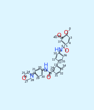 COc1ccc(C(=O)Nc2ccc(-c3cc(C(=O)Nc4ccc(N5CCOCC5)cc4)ccc3C)cc2)cc1OC